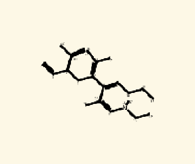 C=CC(CC(=C(C)C)C(=C/CCC)/C(C)=C\N(C)CC)C(=C)C